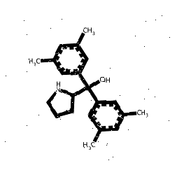 Cc1cc(C)cc(C(O)(c2cc(C)cc(C)c2)C2CCCN2)c1